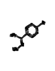 CCCC(=NC(C)(C)C)c1ccc(Br)cc1